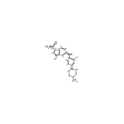 Cc1cc(N2CCC(C(F)(F)F)CC2)ccc1Nc1ccc2c(C(N)=O)cn(C)c2c1